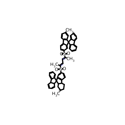 C/C(=C\C=C(/C)S(=O)(=O)c1ccc2c(c1)C1(c3ccccc3C3C=CC=CC31)C1C[C@H](C)CCC21)S(=O)(=O)c1ccc2c(c1)C1(c3ccccc3-c3ccccc31)c1cc(C)ccc1-2